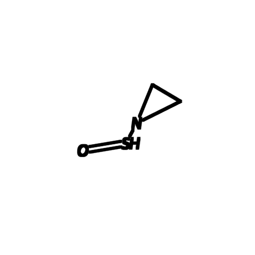 O=[SH]N1CC1